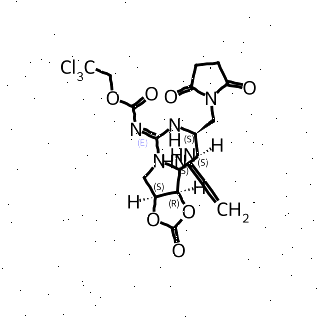 C=C1N[C@H]2[C@H](CN3C(=O)CCC3=O)N/C(=N\C(=O)OCC(Cl)(Cl)Cl)N3C[C@@H]4OC(=O)O[C@@H]4[C@]23N1